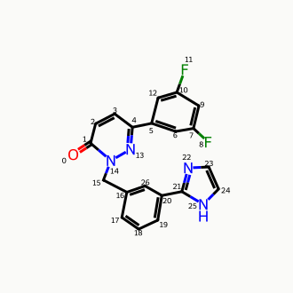 O=c1ccc(-c2cc(F)cc(F)c2)nn1Cc1cccc(-c2ncc[nH]2)c1